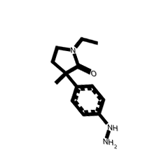 CCN1CCC(C)(c2ccc(NN)cc2)C1=O